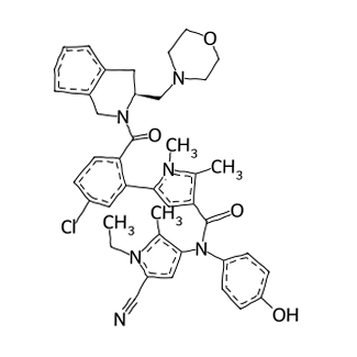 CCn1c(C#N)cc(N(C(=O)c2cc(-c3cc(Cl)ccc3C(=O)N3Cc4ccccc4C[C@H]3CN3CCOCC3)n(C)c2C)c2ccc(O)cc2)c1C